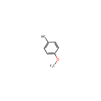 N#Cc1[c]cc(OC(F)(F)F)cc1